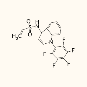 C=CS(=O)(=O)NC1C=CN(c2c(F)c(F)c(F)c(F)c2F)c2ccccc21